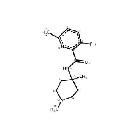 Cc1ccc(F)c(C(=O)NC2(C)CCN(C)CC2)n1